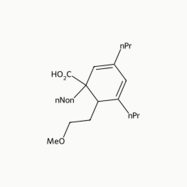 CCCCCCCCCC1(C(=O)O)C=C(CCC)C=C(CCC)C1CCOC